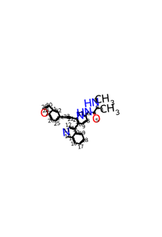 CNC(C)C(=O)Nc1ccc(-c2cncc3ccccc23)c(C#Cc2ccc3occc3c2)n1